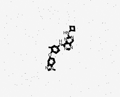 Cc1cc(Nc2ncnc3cnc(NC4CCC4)nc23)ccc1Oc1ccc2c(c1)ncn2C